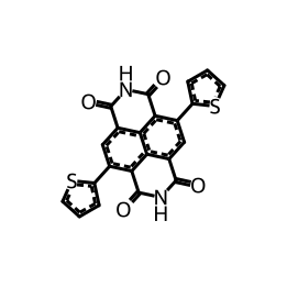 O=C1NC(=O)c2c(-c3cccs3)cc3c4c(c(-c5cccs5)cc1c24)C(=O)NC3=O